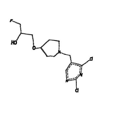 OC(CF)COC1CCN(Cc2cnc(Cl)nc2Cl)CC1